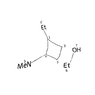 CCC1CCC1NC.CCO